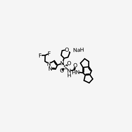 O=C(Nc1c2c(cc3c1CCC3)CCC2)NS(=O)(=O)N(c1cnn(CC(F)F)c1)C1CCOCC1.[NaH]